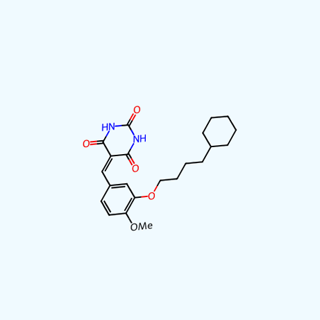 COc1ccc(C=C2C(=O)NC(=O)NC2=O)cc1OCCCCC1CCCCC1